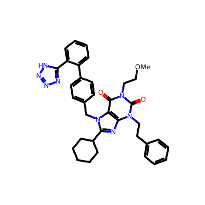 COCCn1c(=O)c2c(nc(C3CCCCC3)n2Cc2ccc(-c3ccccc3-c3nnn[nH]3)cc2)n(CCc2ccccc2)c1=O